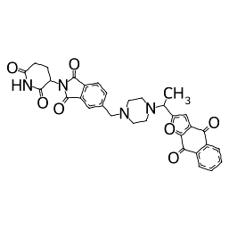 CC(c1cc2c(o1)C(=O)c1ccccc1C2=O)N1CCN(Cc2ccc3c(c2)C(=O)N(C2CCC(=O)NC2=O)C3=O)CC1